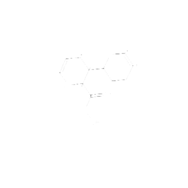 COC(=O)C1OC=CCC1C1CCC=CO1